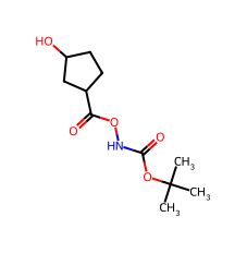 CC(C)(C)OC(=O)NOC(=O)C1CCC(O)C1